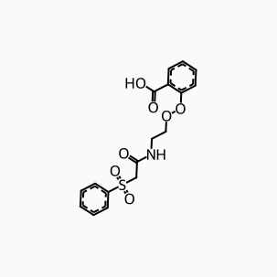 O=C(CS(=O)(=O)c1ccccc1)NCCOOc1ccccc1C(=O)O